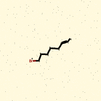 CC=CCCCCCBr